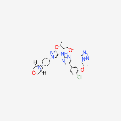 COCC[C@H](C)Oc1nn([C@H]2CC[C@H](N3[C@@H]4CC[C@H]3COC4)CC2)cc1Nc1ncc(-c2ccc(Cl)c(O[C@@H](C)Cn3cncn3)c2)cn1